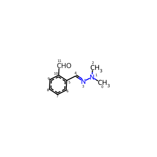 CN(C)N=Cc1ccccc1C=O